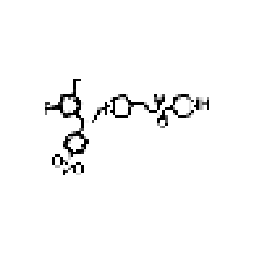 CS(=O)(=O)c1ccc([C@@H](CCN2CCC(CCS(=O)(=O)C3CCNCC3)CC2)c2cc(F)cc(F)c2)cc1